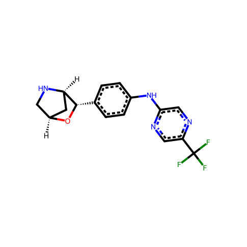 FC(F)(F)c1cnc(Nc2ccc([C@@H]3O[C@H]4CN[C@@H]3C4)cc2)cn1